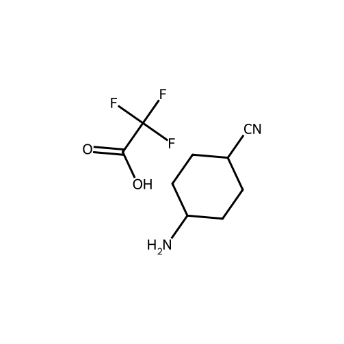 N#CC1CCC(N)CC1.O=C(O)C(F)(F)F